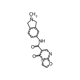 CN1Cc2ccc(NC(=O)c3cnc4occn4c3=O)cc2C1